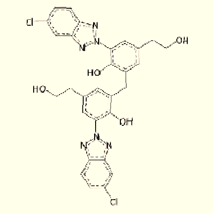 OCCc1cc(Cc2cc(CCO)cc(-n3nc4ccc(Cl)cc4n3)c2O)c(O)c(-n2nc3ccc(Cl)cc3n2)c1